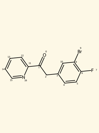 O=C(Cc1ccc(F)c(Br)c1)c1ccccn1